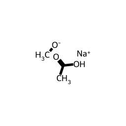 CC(=O)O.C[O-].[Na+]